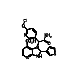 NC(=O)C(c1ccc(OCl)nc1)N1c2c(C(=O)O)ccnc2NC1c1ccsc1